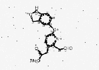 COC(=O)Cc1ccc(Oc2ccc3c(c2)COB3)nc1CC=O